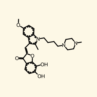 COc1ccc2c(c1)c(C=C1Oc3c(ccc(O)c3O)C1=O)c(C)n2CCCCN1CCN(C)CC1